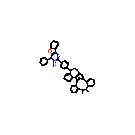 Cc1c2cc3c(c1-c1ccccc1C(C)C(C)c1ccccc1-2)-c1ccccc1C(c1ccc(C2=Nc4c(oc5ccccc45)C(c4ccccc4)N2)cc1)CC3